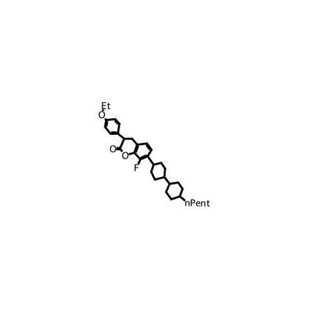 CCCCCC1CCC(C2CCC(c3ccc4c(c3F)OC(=O)C(c3ccc(OCC)cc3)C4)CC2)CC1